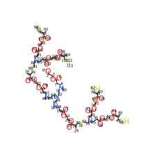 COCCOC(=O)CCN(C)CCN(CCN(C)CCC(=O)OCCOC(=O)C(C)CSCCN(CCC(=O)OCCOC(=O)C(C)CS)CCC(=O)OCCOC(=O)C(C)CS)CCN(C)CCC(=O)OCCOC(=O)C(C)CSCCN(CCC(=O)OCCOC(=O)C(C)CSC)CCC(=O)OCCOC(=O)C(C)CSC